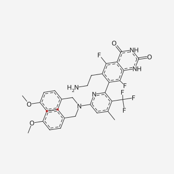 COc1ccc(CN(Cc2ccc(OC)cc2)c2cc(C)c(C(F)(F)F)c(-c3c(CCN)c(F)c4c(=O)[nH]c(=O)[nH]c4c3F)n2)cc1